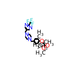 CCOC(=O)C(C)(C)Oc1c(C)cc(CN2CCN(Cc3cnc(C(F)(F)F)nc3)CC2)cc1C